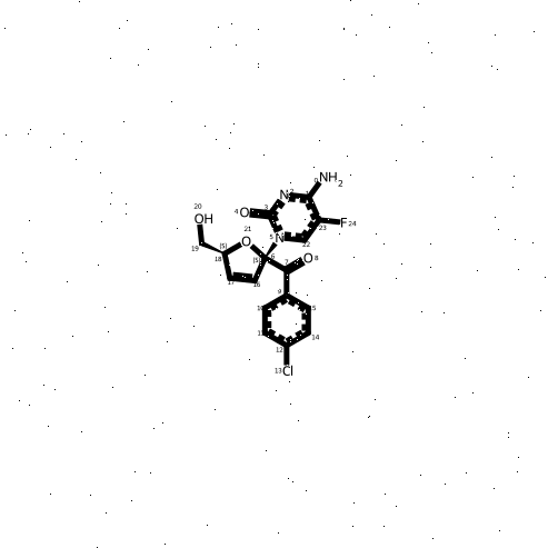 Nc1nc(=O)n([C@@]2(C(=O)c3ccc(Cl)cc3)C=C[C@@H](CO)O2)cc1F